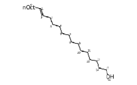 CCCCCCCCC=CCCCCCCCCCCCCCO